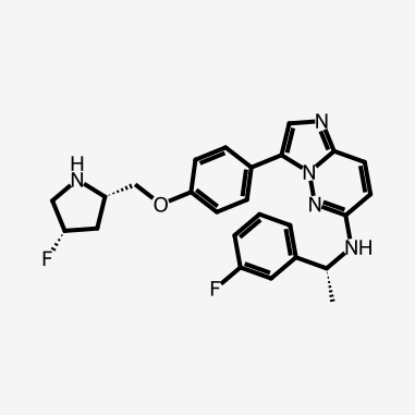 C[C@@H](Nc1ccc2ncc(-c3ccc(OC[C@@H]4C[C@H](F)CN4)cc3)n2n1)c1cccc(F)c1